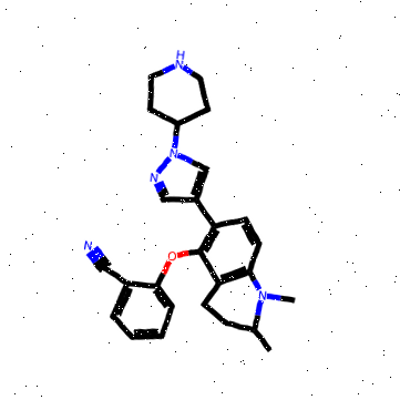 CC1CCc2c(ccc(-c3cnn(C4CCNCC4)c3)c2Oc2ccccc2C#N)N1C